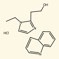 CCn1ccnc1CCO.Cl.c1ccc2ncccc2c1